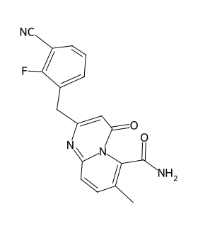 Cc1ccc2nc(Cc3cccc(C#N)c3F)cc(=O)n2c1C(N)=O